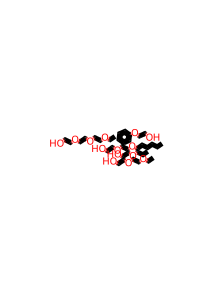 CCCCCCOCCOCCO.CCCOCCO.CCOCCOCCO.CCOCCOCCOCCO.OCCOc1ccccc1